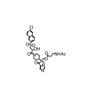 CC(=O)NCCC(=O)OC[N+]1(C2CCN(C(=O)[C@H](O)CS(=O)(=O)c3ccc4cc(Cl)ccc4c3)CC2)Cn2cncc2C1=O